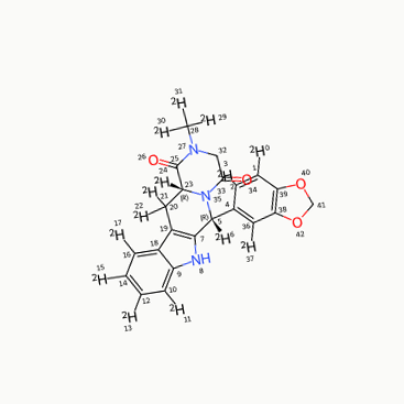 [2H]c1c([2H])c([C@]2([2H])c3[nH]c4c([2H])c([2H])c([2H])c([2H])c4c3C([2H])([2H])[C@]3([2H])C(=O)N(C([2H])([2H])[2H])CC(=O)N23)c([2H])c2c1OCO2